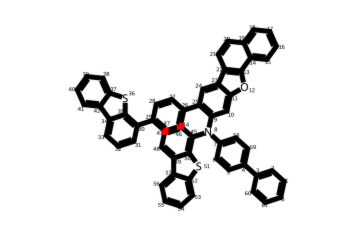 c1ccc(-c2ccc(N(c3cc4oc5c6ccccc6ccc5c4cc3-c3ccc(-c4cccc5c4sc4ccccc45)cc3)c3cccc4c3sc3ccccc34)cc2)cc1